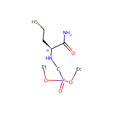 CCOP(=O)(CN[C@@H](CCS)C(N)=O)OCC